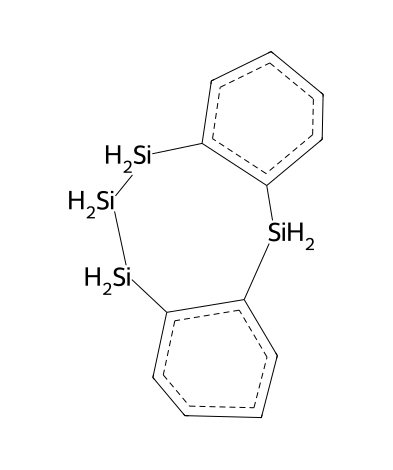 c1ccc2c(c1)[SiH2][SiH2][SiH2]c1ccccc1[SiH2]2